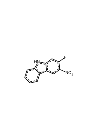 O=[N+]([O-])c1cc2c(cc1F)[nH]c1ccccc12